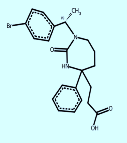 C[C@@H](c1ccc(Br)cc1)N1CCCC(CCC(=O)O)(c2ccccc2)NC1=O